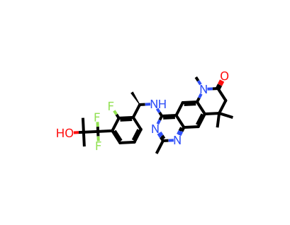 Cc1nc(N[C@H](C)c2cccc(C(F)(F)C(C)(C)O)c2F)c2cc3c(cc2n1)C(C)(C)CC(=O)N3C